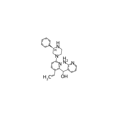 C=Cc1ccc(N2CCN[C@H](c3ccccc3)C2)nc1C(O)c1cccnc1N